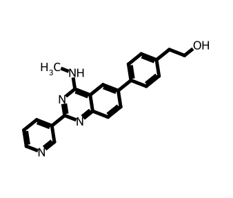 CNc1nc(-c2cccnc2)nc2ccc(-c3ccc(CCO)cc3)cc12